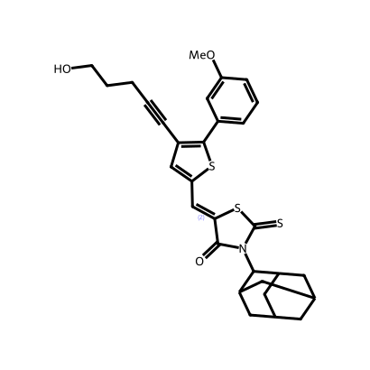 COc1cccc(-c2sc(/C=C3\SC(=S)N(C4C5CC6CC(C5)CC4C6)C3=O)cc2C#CCCCO)c1